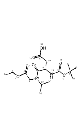 CCOC(=O)CN(C(=O)[C@H](CC(=O)O)NC(=O)OC(C)(C)C)C(C)C